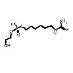 CCP(=O)(OCCO)OCCCCCCNC(=N)N